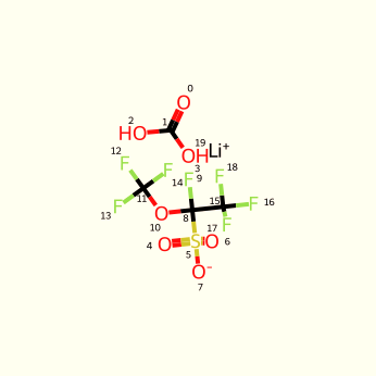 O=C(O)O.O=S(=O)([O-])C(F)(OC(F)(F)F)C(F)(F)F.[Li+]